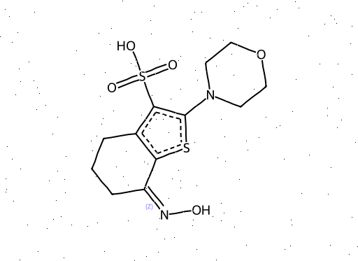 O=S(=O)(O)c1c(N2CCOCC2)sc2c1CCC/C2=N/O